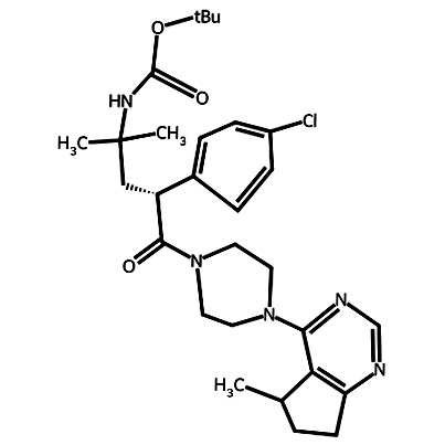 CC1CCc2ncnc(N3CCN(C(=O)[C@H](CC(C)(C)NC(=O)OC(C)(C)C)c4ccc(Cl)cc4)CC3)c21